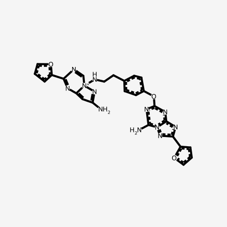 NC1=N[N+]2(NCCc3ccc(Oc4nc(N)n5nc(-c6ccco6)nc5n4)cc3)C=NC(c3ccco3)=NC2=C1